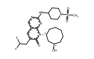 CS(=O)(=O)N1CCC(Nc2ncc3cc(CC(F)F)c(=O)n([C@@H]4CCCCC[C@@H](O)C4)c3n2)CC1